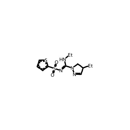 CCN/C(=N\S(=O)(=O)c1cccs1)N1CC(CC)C=N1